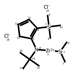 C[Si](C)[Zr+2][N](C1=C([Si](C)(C)C)C=CC1)C(C)(C)C.[Cl-].[Cl-]